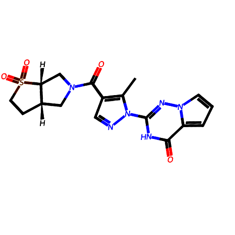 Cc1c(C(=O)N2C[C@@H]3CCS(=O)(=O)[C@@H]3C2)cnn1-c1nn2cccc2c(=O)[nH]1